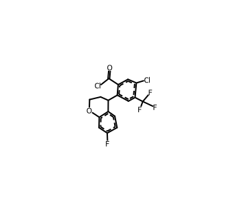 O=C(Cl)c1cc(Cl)c(C(F)(F)F)cc1C1CCOc2cc(F)ccc21